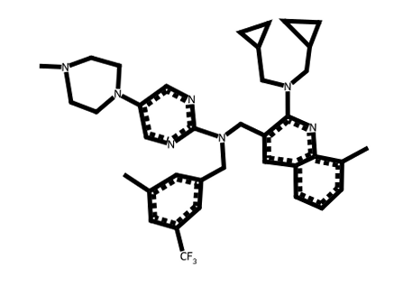 Cc1cc(CN(Cc2cc3cccc(C)c3nc2N(CC2CC2)CC2CC2)c2ncc(N3CCN(C)CC3)cn2)cc(C(F)(F)F)c1